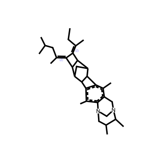 CC/C(C)=C1\C(=C(\C)CC(C)C)C2C3CC(C12)C1c2c(C)c4c(c(C)c2C31)N1CC(C)C(C)N(C4)C1